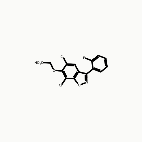 O=C(O)COc1c(Cl)cc2c(-c3ccccc3F)noc2c1Cl